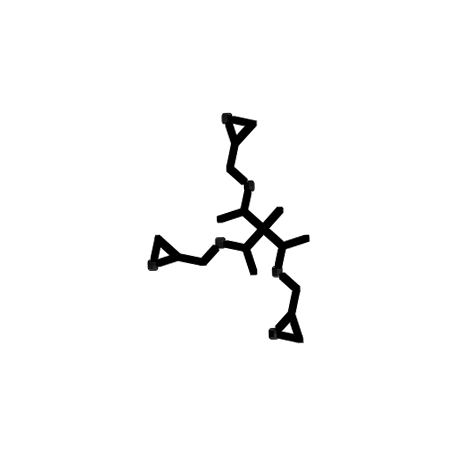 CC(OCC1CO1)C(C)(C(C)OCC1CO1)C(C)OCC1CO1